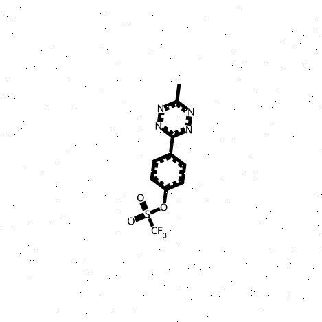 Cc1nnc(-c2ccc(OS(=O)(=O)C(F)(F)F)cc2)nn1